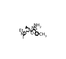 CCc1nc(I)cn1CCN(CC1CC1)C(=O)c1nc(N)sc1-c1cccc(C)c1